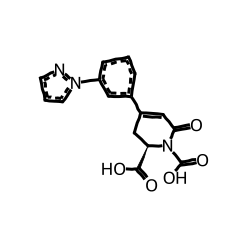 O=C(O)[C@H]1CC(c2cccc(-n3cccn3)c2)=CC(=O)N1C(=O)O